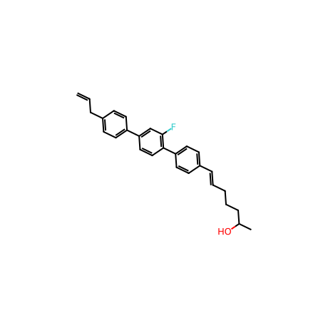 C=CCc1ccc(-c2ccc(-c3ccc(/C=C/CCCC(C)O)cc3)c(F)c2)cc1